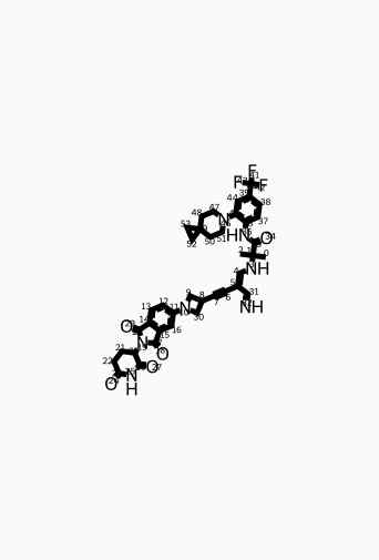 CC(C)(N/C=C(/C#CC1CN(c2ccc3c(c2)C(=O)N(C2CCC(=O)NC2=O)C3=O)C1)C=N)C(=O)Nc1ccc(C(F)(F)F)cc1N1CCC2(CC1)CC2